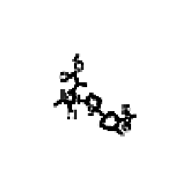 CCOC(=O)C(C)c1nc(C)c(Cl)n1-c1ccc(-c2ccc(C)c(S(C)(=O)=O)c2)s1